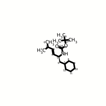 CC(C)C=C[C@H](CC1CCCCC1)NC(=O)OC(C)(C)C